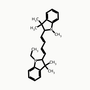 CCN1c2ccccc2C(C)(C)C1C=CC=CC1N(C)c2ccccc2C1(C)C